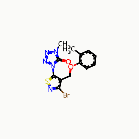 Cc1ccccc1OCc1c(Br)nsc1-n1nnn(C)c1=O